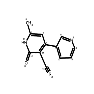 Cc1cc(-c2cccnc2)c(C#N)c(=O)[nH]1